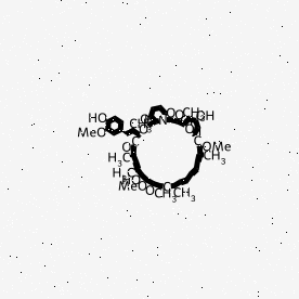 CO[C@H]1C[C@@H]2CC(O)[C@@H](C)[C@@](O)(O2)C(=O)C(=O)N2CCCC[C@H]2C(=O)O[C@H]([C@H](C)C[C@@H]2CC[C@@H](O)[C@H](OC)C2)CC(=O)[C@H](C)/C=C(\C)[C@@H](O)[C@@H](OC)C(=O)[C@H](C)C[C@H](C)/C=C/C=C/C=C/1C